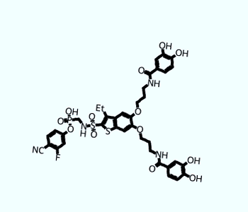 CCc1c(S(=O)(=O)NCP(=O)(O)Oc2ccc(C#N)c(F)c2)sc2cc(OCCCNC(=O)c3ccc(O)c(O)c3)c(OCCCNC(=O)c3ccc(O)c(O)c3)cc12